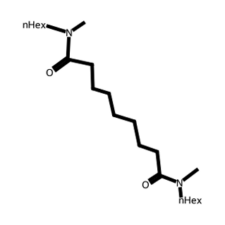 CCCCCCN(C)C(=O)CCCCCCCC(=O)N(C)CCCCCC